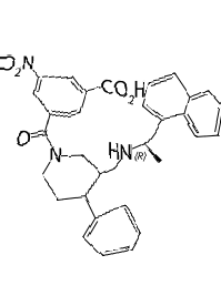 C[C@@H](NCC1CN(C(=O)c2cc(C(=O)O)cc([N+](=O)[O-])c2)CCC1c1ccccc1)c1cccc2ccccc12